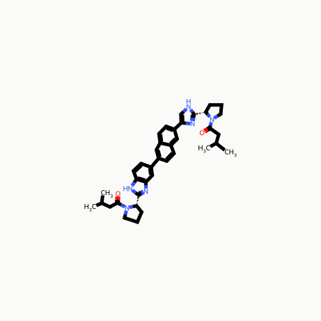 CC(C)CC(=O)N1CCC[C@H]1c1nc(-c2ccc3cc(-c4ccc5[nH]c([C@@H]6CCCN6C(=O)CC(C)C)nc5c4)ccc3c2)c[nH]1